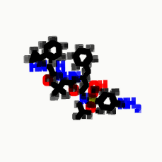 CC(C)CN(C[C@@H](O)[C@H](Cc1ccccc1)NC(=O)C(NC(=O)CNC1(c2ccccc2)CC1)C(C)(C)C)S(=O)(=O)c1ccc(N)cc1